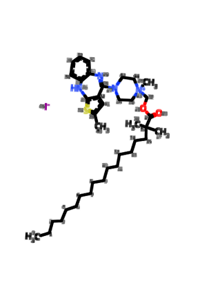 CCCCCCCCCCCCCCCCC(C)(C)C(=O)OC[N+]1(C)CCN(C2=Nc3ccccc3Nc3sc(C)cc32)CC1.[I-]